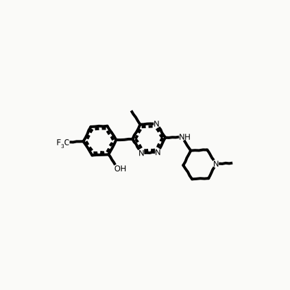 Cc1nc(NC2CCCN(C)C2)nnc1-c1ccc(C(F)(F)F)cc1O